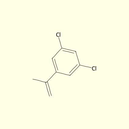 C=C(C)c1cc(Cl)cc(Cl)c1